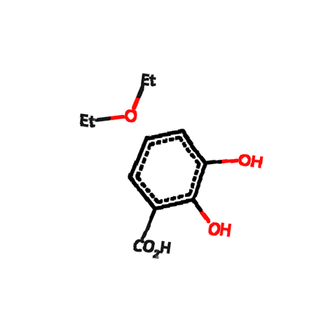 CCOCC.O=C(O)c1cccc(O)c1O